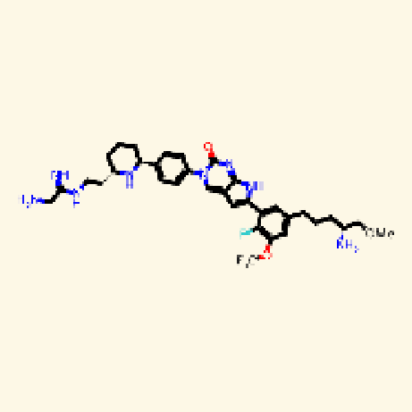 COC[C@H](N)CCCc1cc(OC(F)(F)F)c(F)c(-c2cc3cn(-c4ccc([C@@H]5CCC[C@@H](CCNC(=N)CN)N5)cc4)c(=O)nc3[nH]2)c1